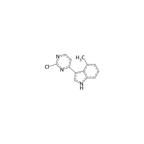 Cc1cccc2[nH]cc(-c3ccnc(Cl)n3)c12